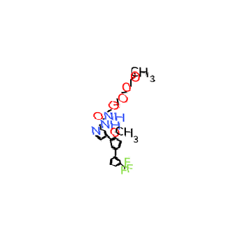 COCCOCCOCCOCCNC(=O)NCc1cc(-c2cc(-c3cccc(C(F)(F)F)c3)ccc2OC)ccn1